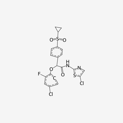 O=C(Nc1ncc(Cl)s1)C(Oc1ccc(Cl)cc1F)c1ccc(S(=O)(=O)C2CC2)cc1